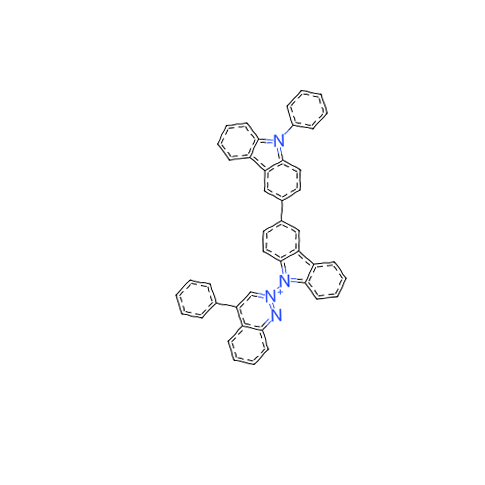 c1ccc(-c2c[n+](-n3c4ccccc4c4cc(-c5ccc6c(c5)c5ccccc5n6-c5ccccc5)ccc43)nc3ccccc23)cc1